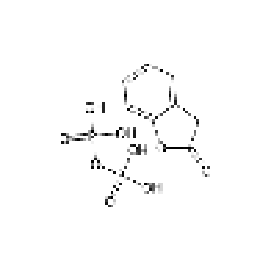 O=C1Cc2ccccc2O1.O=P(O)(O)OP(=O)(O)O